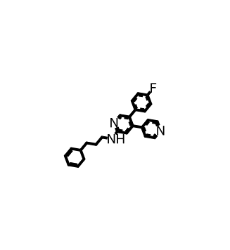 Fc1ccc(-c2cnc(NCCCC3C=CC=CC3)cc2-c2ccncc2)cc1